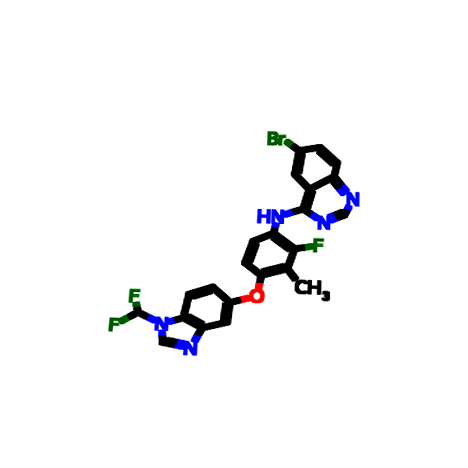 Cc1c(Oc2ccc3c(c2)ncn3C(F)F)ccc(Nc2ncnc3ccc(Br)cc23)c1F